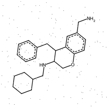 NCc1ccc2c(c1)C(Cc1ccccc1)C(NCC1CCCCC1)CO2